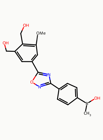 COc1cc(-c2nc(-c3ccc(B(C)O)cc3)no2)cc(CO)c1CO